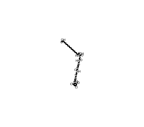 O=[S+]c1cc(Cl)cc(Cl)c1OC(=O)COCCOCCNC(=O)COCCOCCNC(=O)CC[C@H](NC(=O)CCCCCCCCCCCCCCCCC(=O)O)C(=O)O